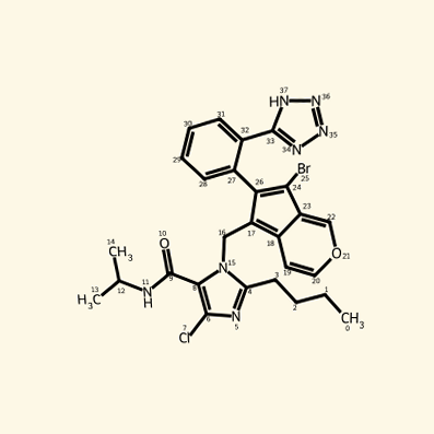 CCCCc1nc(Cl)c(C(=O)NC(C)C)n1Cc1c2ccocc-2c(Br)c1-c1ccccc1-c1nnn[nH]1